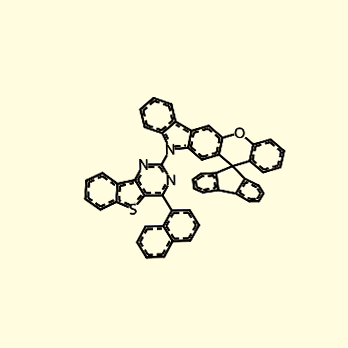 c1ccc2c(c1)Oc1cc3c4ccccc4n(-c4nc(-c5cccc6ccccc56)c5sc6ccccc6c5n4)c3cc1C21c2ccccc2-c2ccccc21